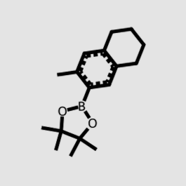 Cc1cc2c(cc1B1OC(C)(C)C(C)(C)O1)CCCC2